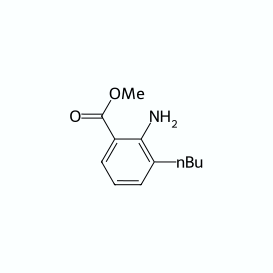 CCCCc1cccc(C(=O)OC)c1N